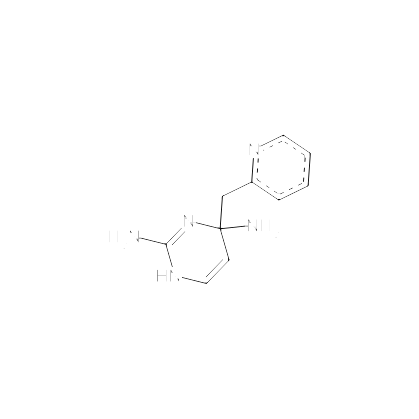 NC1=NC(N)(Cc2ccccn2)C=CN1